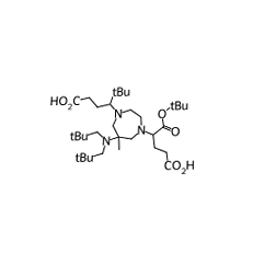 CC(C)(C)CN(CC(C)(C)C)C1(C)CN(C(CCC(=O)O)C(=O)OC(C)(C)C)CCN(C(CCC(=O)O)C(C)(C)C)C1